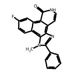 Cn1c(-c2ccccc2)nc2c3cc[nH]c(=O)c3c3cc(F)ccc3c21